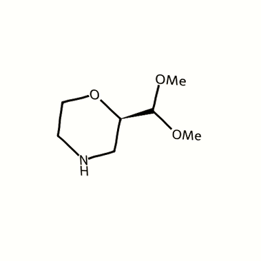 COC(OC)[C@H]1CNCCO1